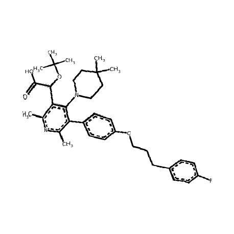 Cc1nc(C)c(C(OC(C)(C)C)C(=O)O)c(N2CCC(C)(C)CC2)c1-c1ccc(OCCCc2ccc(F)cc2)cc1